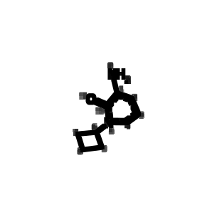 Nc1cccn(C2CCC2)c1=O